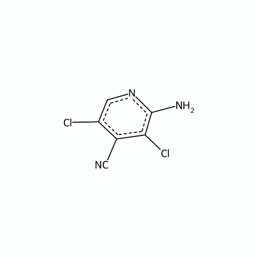 N#Cc1c(Cl)cnc(N)c1Cl